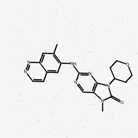 Cc1cc2nnccc2cc1Nc1ncc2c(n1)n(C1CCOCC1)c(=O)n2C